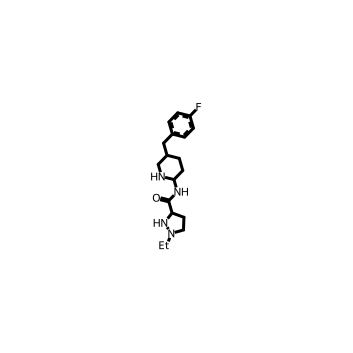 CCN1CCC(C(=O)NC2CCC(Cc3ccc(F)cc3)CN2)N1